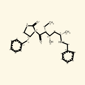 CC[C@@H](C(=O)N1C(=O)OC[C@H]1Cc1ccccc1)[C@@H](O)C[C@H](C)NCc1ccccc1